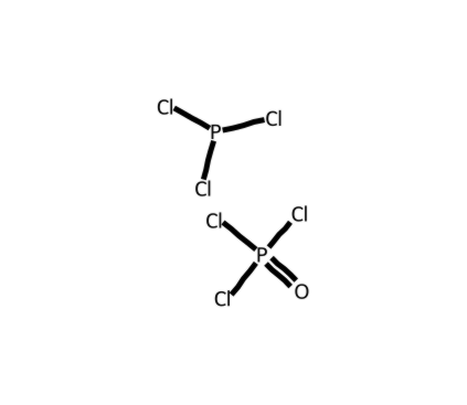 ClP(Cl)Cl.O=P(Cl)(Cl)Cl